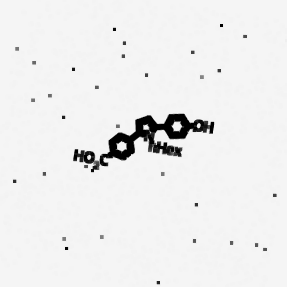 CCCCCCn1c(-c2ccc(O)cc2)ccc1-c1ccc(C(=O)O)cc1